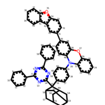 c1ccc(-c2nc(-c3ccccc3)nc(C3(c4ccc(N5c6ccccc6Oc6cc(-c7ccc8oc9ccccc9c8c7)ccc65)cc4)C4CC5CC(C4)CC3C5)n2)cc1